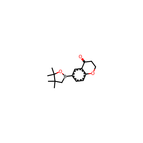 CC1(C)CB(c2ccc3c(c2)C(=O)CCO3)OC1(C)C